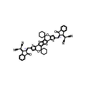 N#CC(C#N)=C1/C(=C/c2cc3c(s2)-c2sc4c5c(sc4c2C2(CCCCC2)O3)-c2sc(/C=C3\C(=O)c4ccccc4C3=C(C#N)C#N)cc2OC52CCCCC2)C(=O)c2ccccc21